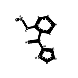 O=COc1ccccc1C(=O)c1cccs1